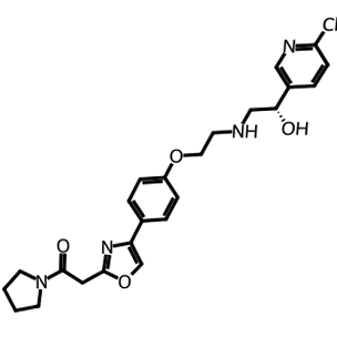 O=C(Cc1nc(-c2ccc(OCCNC[C@@H](O)c3ccc(Cl)nc3)cc2)co1)N1CCCC1